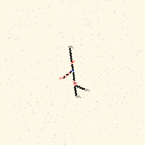 CCCCCCCCCCCC(=O)OCCCCCN(CCCCCCCOC(=O)OC(CCCCCCCC)CCCCCCCC)CCOCCOCCO